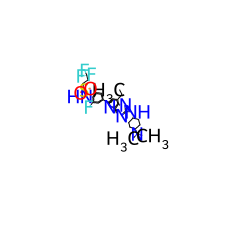 CCc1cc(-c2ccc(NS(=O)(=O)CCC(F)(F)F)c(F)c2)nc2cnc(N[C@H]3CC[C@H](N(C)C)CC3)nc12